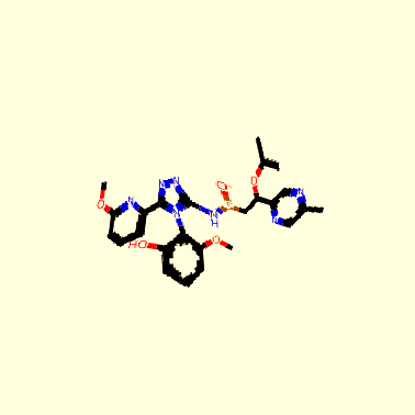 COC1=NC(c2nnc(N[S+]([O-])CC(OC(C)C)c3cnc(C)cn3)n2-c2c(O)cccc2OC)=C=C=C1